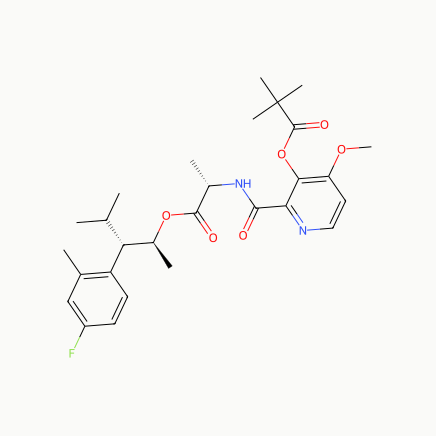 COc1ccnc(C(=O)N[C@@H](C)C(=O)O[C@@H](C)[C@H](c2ccc(F)cc2C)C(C)C)c1OC(=O)C(C)(C)C